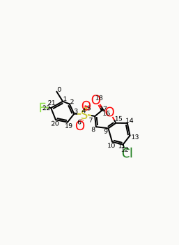 Cc1cc(S(=O)(=O)c2cc3cc(Cl)ccc3oc2=O)ccc1F